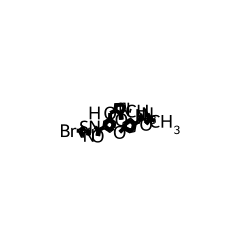 Cc1nnc(-c2ccc(Oc3cc(OC4CCN(C)C4=O)cc(C(=O)Nc4ncc(Br)s4)c3)cc2)o1